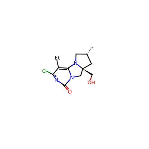 CCc1c(Cl)nc(=O)n2c1N1C[C@H](C)C[C@]1(CO)C2